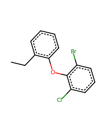 CCc1ccccc1Oc1c(Cl)cccc1Br